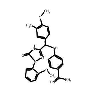 COc1ccc(C(Nc2ccc(C(=N)N)cc2)c2nn(-c3ccccc3OC)c(=O)[nH]2)cc1C